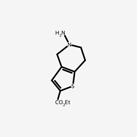 CCOC(=O)c1cc2c(s1)CCN(N)C2